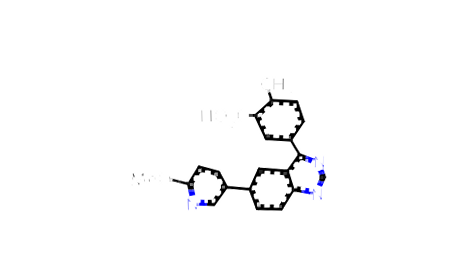 COc1ccc(-c2ccc3ncnc(-c4ccc(C)c(C(=O)O)c4)c3c2)cn1